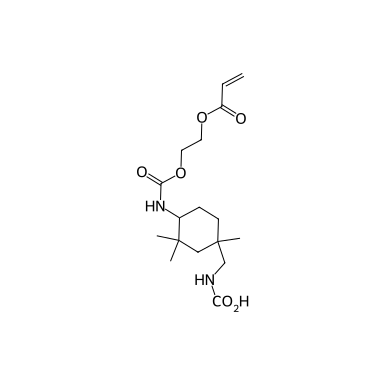 C=CC(=O)OCCOC(=O)NC1CCC(C)(CNC(=O)O)CC1(C)C